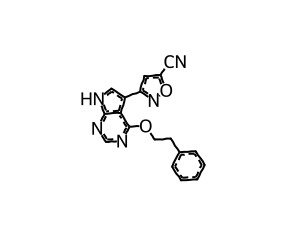 N#Cc1cc(-c2c[nH]c3ncnc(OCCc4ccccc4)c23)no1